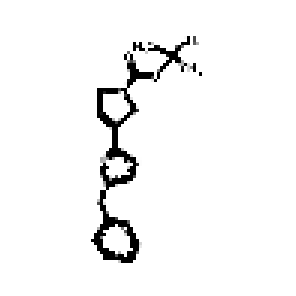 CC(C)(C)OC(=O)N1CC=C(c2ncn(Cc3ccccc3)n2)C1